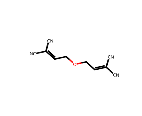 N#CC(C#N)=CCOCC=C(C#N)C#N